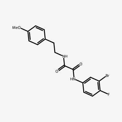 COc1ccc(CCNC(=O)C(=O)Nc2ccc(F)c(Br)c2)cc1